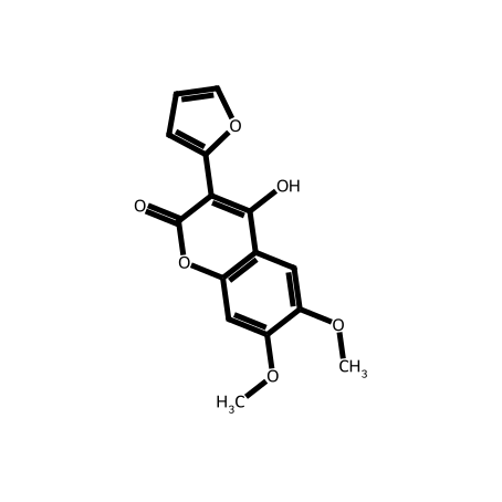 COc1cc2oc(=O)c(-c3ccco3)c(O)c2cc1OC